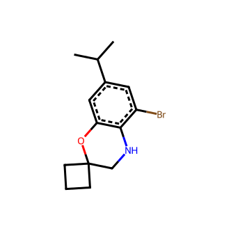 CC(C)c1cc(Br)c2c(c1)OC1(CCC1)CN2